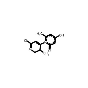 Cc1cc(O)cc(=O)n1C1=CC(Cl)=NCC1C